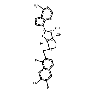 Nc1nc2c(F)c(C[C@@H]3CC[C@@]4(O)[C@@H]3O[C@@H](n3ccc5c(N)ncnc53)[C@@H]4O)ccc2cc1F